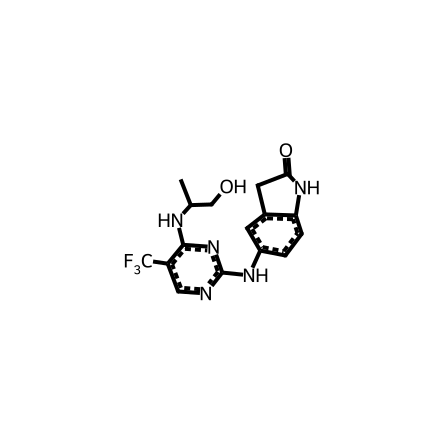 CC(CO)Nc1nc(Nc2ccc3c(c2)CC(=O)N3)ncc1C(F)(F)F